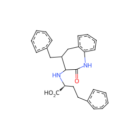 O=C1Nc2ccccc2CC(Cc2ccccc2)C1N[C@@H](CCc1ccccc1)C(=O)O